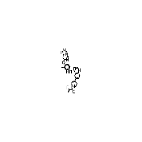 C=C(F)C(=O)N1CC=C(c2ccc3ncnc(Nc4ccc(Oc5cc6nncn6cn5)c(C)c4)c3c2)CC1